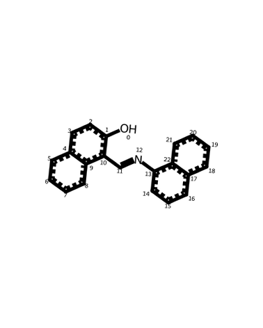 Oc1ccc2ccccc2c1C=Nc1cccc2ccccc12